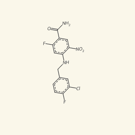 NC(=O)c1cc([N+](=O)[O-])c(NCc2ccc(F)c(Cl)c2)cc1F